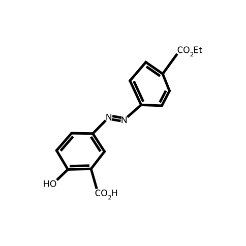 CCOC(=O)c1ccc(N=Nc2ccc(O)c(C(=O)O)c2)cc1